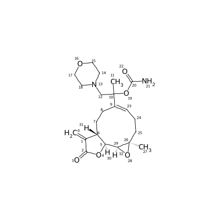 C=C1C(=O)O[C@H]2[C@H]1CC/C(C(C)(CN1CCOCC1)OC(N)=O)=C\CC[C@@]1(C)O[C@@H]21